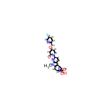 Cn1c2c(c3ccc(-n4ccc(OCc5ccc(F)cn5)cc4=O)nc31)C1CCC(C2)N1C(=O)O